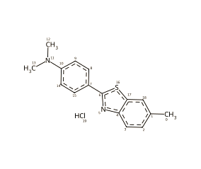 Cc1ccc2nc(-c3ccc(N(C)C)cc3)sc2c1.Cl